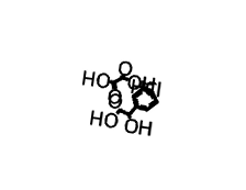 Cl.O=C(O)C(=O)O.O=C(O)C(O)c1ccccc1